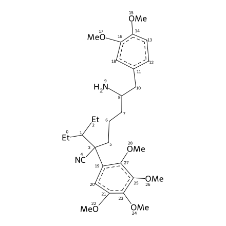 CCC(CC)C(C#N)(CCCC(N)Cc1ccc(OC)c(OC)c1)c1cc(OC)c(OC)c(OC)c1OC